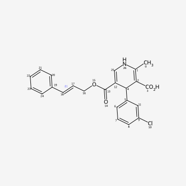 CC1=C(C(=O)O)C(c2cccc(Cl)c2)C(C(=O)OC/C=C/c2ccccc2)=CN1